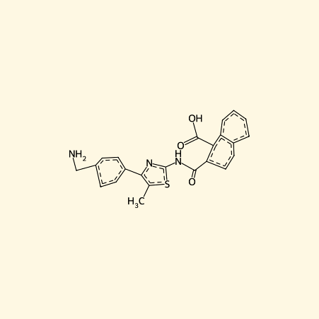 Cc1sc(NC(=O)c2ccc3ccccc3c2C(=O)O)nc1-c1ccc(CN)cc1